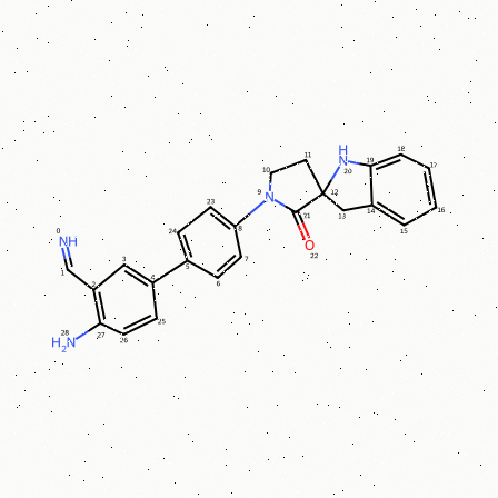 N=Cc1cc(-c2ccc(N3CCC4(Cc5ccccc5N4)C3=O)cc2)ccc1N